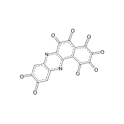 O=c1cc2nc3c(=O)c(=O)c4c(=O)c(=O)c(=O)c(=O)c4c3nc2cc1=O